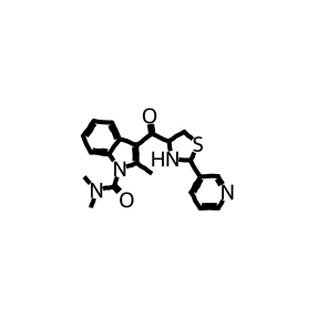 Cc1c(C(=O)C2CSC(c3cccnc3)N2)c2ccccc2n1C(=O)N(C)C